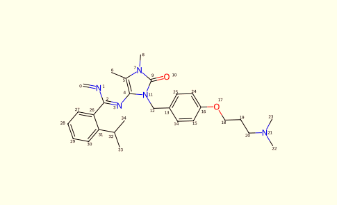 C=N/C(=N\c1c(C)n(C)c(=O)n1Cc1ccc(OCCCN(C)C)cc1)c1ccccc1C(C)C